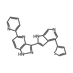 c1ccc(-c2ccc3[nH]nc(-c4cc5c(-c6cccs6)cncc5[nH]4)c3n2)nc1